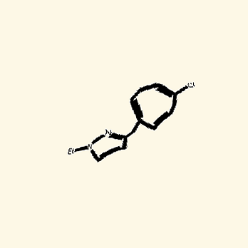 CCn1ccc(-c2ccc(Cl)cc2)n1